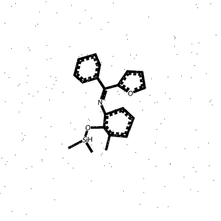 Cc1cccc(N=C(c2ccccc2)c2ccco2)c1O[SiH](C)C